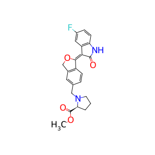 COC(=O)[C@@H]1CCCN1Cc1ccc2c(c1)COC2=C1C(=O)Nc2ccc(F)cc21